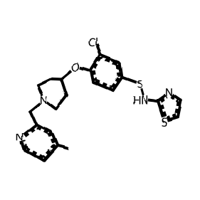 Cc1ccnc(CN2CCC(Oc3ccc(SNc4nccs4)cc3Cl)CC2)c1